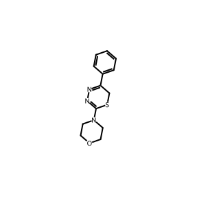 c1ccc(C2=NN=C(N3CCOCC3)SC2)cc1